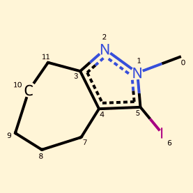 Cn1nc2c(c1I)CCCCC2